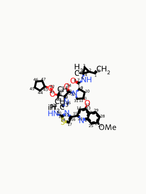 C=CC1C[C@@]1(C)NC(=O)[C@@H]1C[C@@H](Oc2cc(-c3csc(NC(C)C)n3)nc3cc(OC)ccc23)CN1C(=O)[C@@H](N=C)C(C)(C)OOC1CCCC1